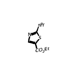 CCCc1ncc(C(=O)OCC)s1